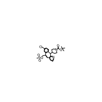 CC(C)(C)OC(=O)N1CCC(C2c3ccc(Cl)cc3C(COS(C)(=O)=O)=Cc3cccnc32)CC1